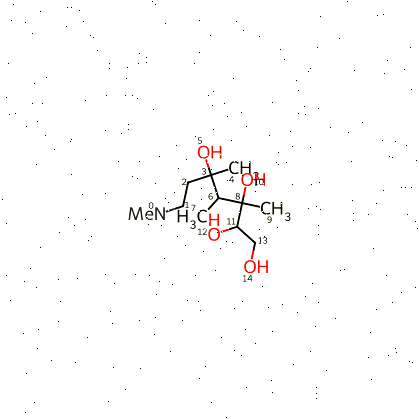 CNCCC(C)(O)C(C)C(C)(O)C(O)CO